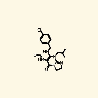 CC(C)CN1C2=NCCN2C(=O)C(NC=O)=C1NCc1ccc(Cl)cc1